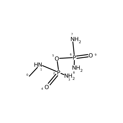 CNP(N)(=O)OP(N)(N)=O